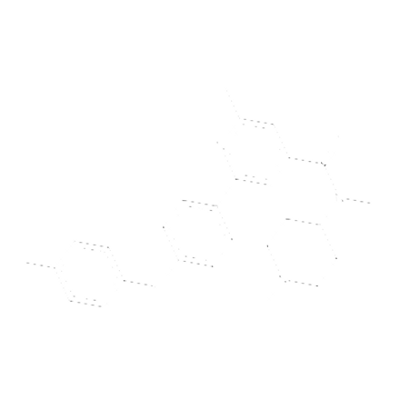 Cc1cc(C(=O)N(C)C2CCN(C)CC2)cc(-c2ccc(Oc3ccc(F)cc3)cc2)n1